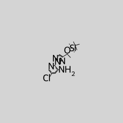 CC(O[Si](C)(C)C(C)(C)C)c1cnn(-c2ncc(Cl)cc2N)n1